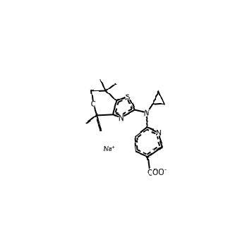 CC1(C)CCC(C)(C)c2sc(N(c3ccc(C(=O)[O-])cn3)C3CC3)nc21.[Na+]